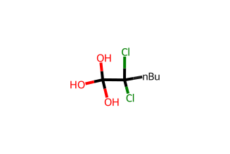 CCCCC(Cl)(Cl)C(O)(O)O